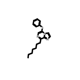 CCCCCCCc1ncc(Sc2ccccc2)n2ccnc12